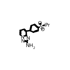 CC(C)S(=O)(=O)c1ccc(-c2cccn3nc(N)nc23)cc1